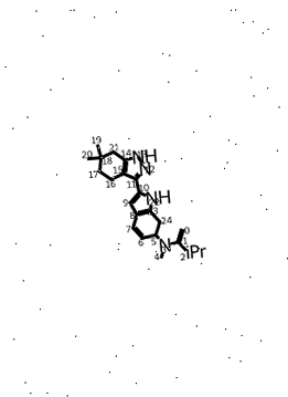 C=C(C(C)C)N(C)C1C=Cc2cc(-c3n[nH]c4c3CCC(C)(C)C4)[nH]c2C1